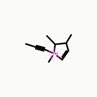 CC#C[PH]1(C)C=CC(C)C1C